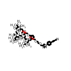 CC[C@H](C)[C@@H]([C@@H](CC(=O)N1CCC[C@H]1C[C@@H](C)C(=O)N[C@@H](Cc1ccccc1)C(=O)OC(C)(C)C)OC)N(C)C(=O)CNC(=O)C(C(C)C)N(C)C(=O)CCOCCOCCOCCOCCOCc1cn(-c2ccc(C#CC#N)cc2)nn1